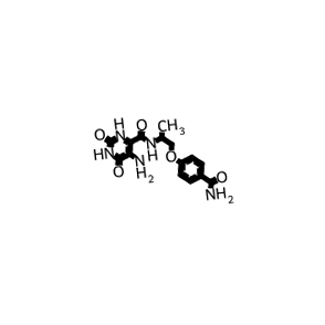 CC(COc1ccc(C(N)=O)cc1)NC(=O)c1[nH]c(=O)[nH]c(=O)c1N